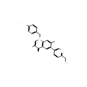 COc1ccc(Cn2cc(C(=O)O)c(=O)c3cc(-c4ccc(CO)nc4)c(F)cc32)cc1